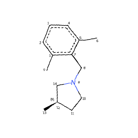 Cc1cccc(C)c1CN1CC[C@@H](C)C1